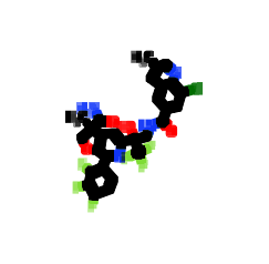 Cc1cnc2c(Cl)cc(C(=O)NCC(O)(c3cc4c(c(-c5ccc(F)c(F)c5F)n3)OC[C@]4(C)C(N)=O)C(F)(F)F)cc2c1